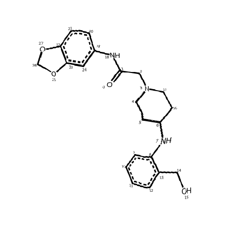 O=C(CN1CCC(Nc2ccccc2CO)CC1)Nc1ccc2c(c1)OCO2